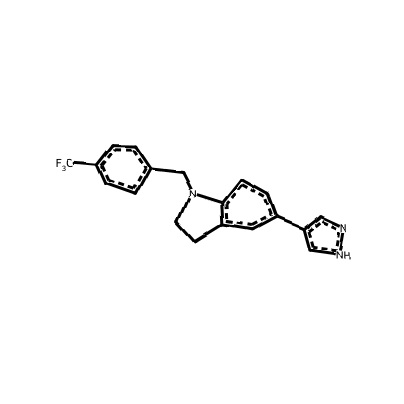 FC(F)(F)c1ccc(CN2CCc3cc(-c4cn[nH]c4)ccc32)cc1